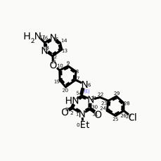 CCn1c(=O)[nH]/c(=N\c2ccc(Oc3ccnc(N)n3)cc2)n(Cc2ccc(Cl)cc2)c1=O